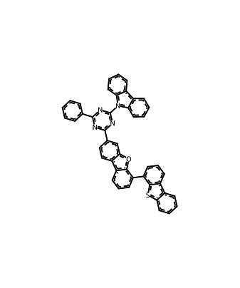 c1ccc(-c2nc(-c3ccc4c(c3)oc3c(-c5cccc6c5sc5ccccc56)cccc34)nc(-n3c4ccccc4c4ccccc43)n2)cc1